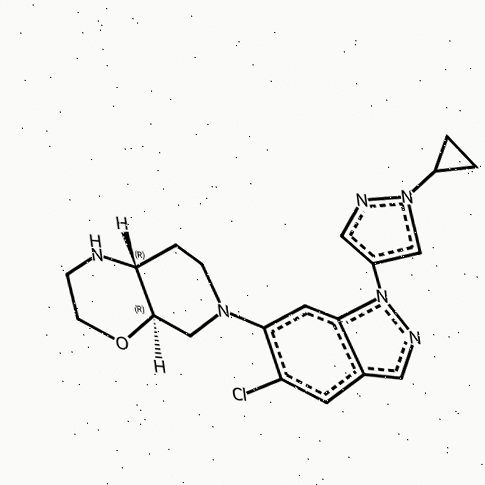 Clc1cc2cnn(-c3cnn(C4CC4)c3)c2cc1N1CC[C@H]2NCCO[C@@H]2C1